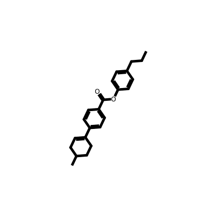 CCCc1ccc(OC(=O)c2ccc(C3=CCC(C)CC3)cc2)cc1